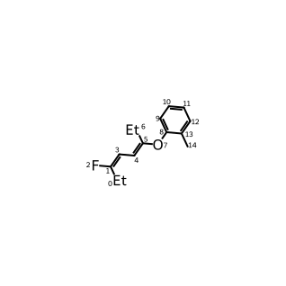 CC/C(F)=C\C=C(/CC)Oc1ccccc1C